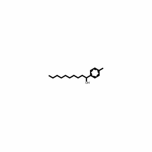 CCCCCCCCCC(O)c1ccc(C)cc1